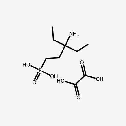 CCC(N)(CC)CCP(=O)(O)O.O=C(O)C(=O)O